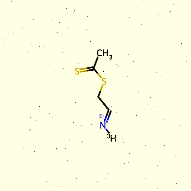 [3H]/N=C/CSC(C)=S